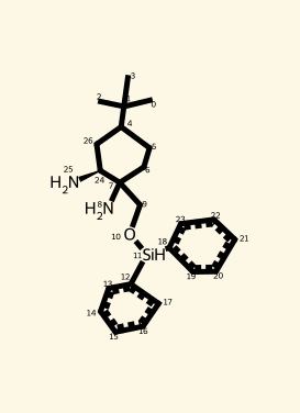 CC(C)(C)C1CCC(N)(CO[SiH](c2ccccc2)c2ccccc2)[C@@H](N)C1